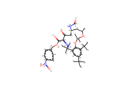 C[C@@H](O[Si](C)(C)Oc1c(C(C)(C)C)cc(C(C)(C)C)cc1C(C)(C)C)[C@H]1C(=O)N[C@@H]1CC(=O)C(=[N+]=[N-])C(=O)OCc1ccc([N+](=O)[O-])cc1